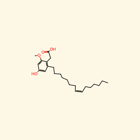 CCCCCC/C=C\CCCCCCCc1cc(O)cc(OC)c1CC(=O)O